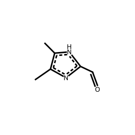 Cc1nc(C=O)[nH]c1C